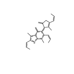 C=C1CC(/C=C\C)=C(C)C/1=c1\c(/C=C\C)c(C)c2sc(/C=C\C)c(C)c2c1=C